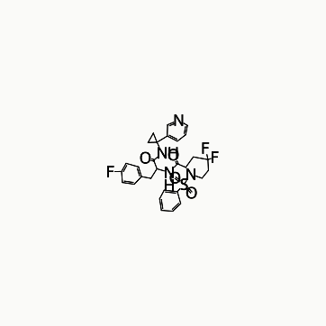 O=C(NC1(c2cccnc2)CC1)C(Cc1ccc(F)cc1)NC(=O)C1CC(F)(F)CCN1S(=O)(=O)c1ccccc1